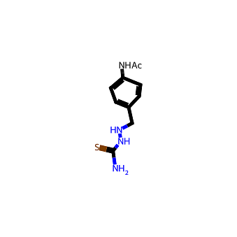 CC(=O)Nc1ccc(CNNC(N)=S)cc1